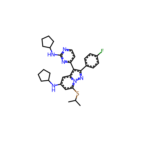 CC(C)Sc1cc(NC2CCCC2)cc2c(-c3ccnc(NC4CCCC4)n3)c(-c3ccc(F)cc3)nn12